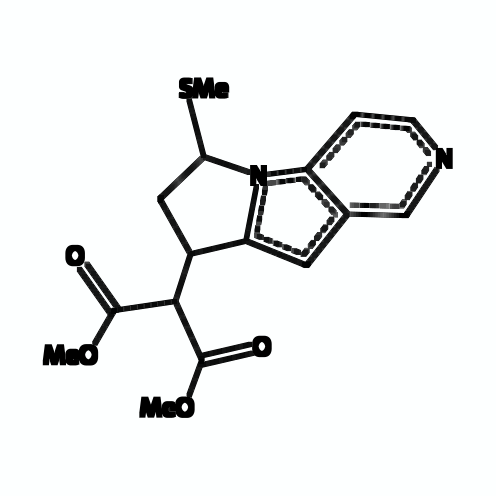 COC(=O)C(C(=O)OC)C1CC(SC)n2c1cc1cnccc12